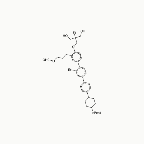 CCCCCC1CCC(c2ccc(-c3ccc(-c4ccc(OCC(CC)(CO)CO)c(CCCOC=O)c4)c(CC)c3)cc2)CC1